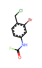 O=C(F)Nc1ccc(CCl)c(Br)c1